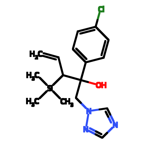 C=CC(C(O)(Cn1cncn1)c1ccc(Cl)cc1)[Si](C)(C)C